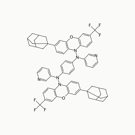 FC(F)(F)c1ccc2c(c1)Oc1cc(C34CC5CC(CC(C5)C3)C4)ccc1N2N(c1ccc(N(c2cccnc2)N2c3ccc(C(F)(F)F)cc3Oc3cc(C45CC6CC(CC(C6)C4)C5)ccc32)cc1)c1cccnc1